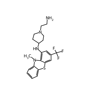 CN1c2ccccc2Sc2cc(C(F)(F)F)cc(NC3CCN(CCN)CC3)c21